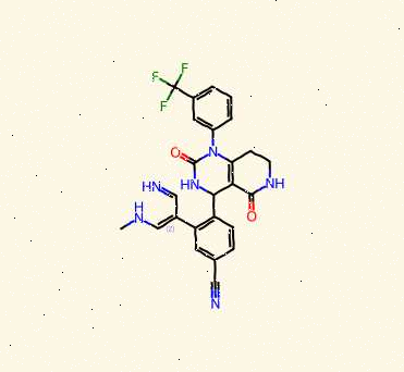 CN/C=C(\C=N)c1cc(C#N)ccc1C1NC(=O)N(c2cccc(C(F)(F)F)c2)C2=C1C(=O)NCC2